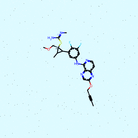 CC#CCOc1cnc2c(Nc3cc(F)c(F)c(C4C(C)[C@]4(COC)S/C(N)=N\C)c3)nccc2n1